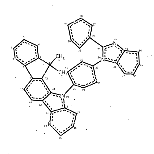 CC1(C)c2ccccc2-c2ccc3c4ncccc4n(-c4ccc(-n5c(-c6ccccc6)nc6ccccc65)cc4)c3c21